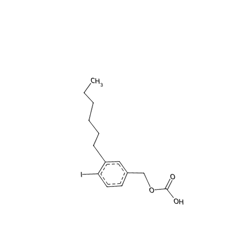 CCCCCCc1cc(COC(=O)O)ccc1I